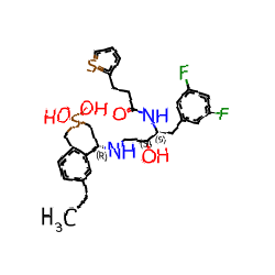 CCc1ccc2c(c1)[C@@H](NC[C@H](O)[C@H](Cc1cc(F)cc(F)c1)NC(=O)CCc1cccs1)CS(O)(O)C2